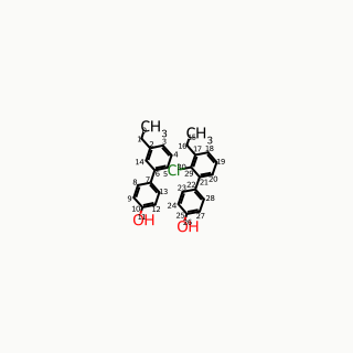 CCc1cccc(-c2ccc(O)cc2)c1.CCc1cccc(-c2ccc(O)cc2)c1Cl